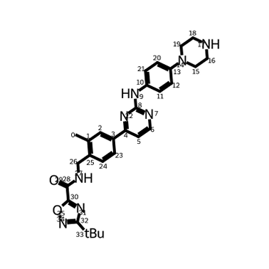 Cc1cc(-c2ccnc(Nc3ccc(N4CCNCC4)cc3)n2)ccc1CNC(=O)c1nc(C(C)(C)C)no1